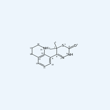 CC1(C)SC(=O)NN=C1c1cccc2c1NCCC2